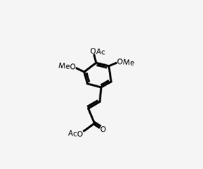 COc1cc(/C=C/C(=O)OC(C)=O)cc(OC)c1OC(C)=O